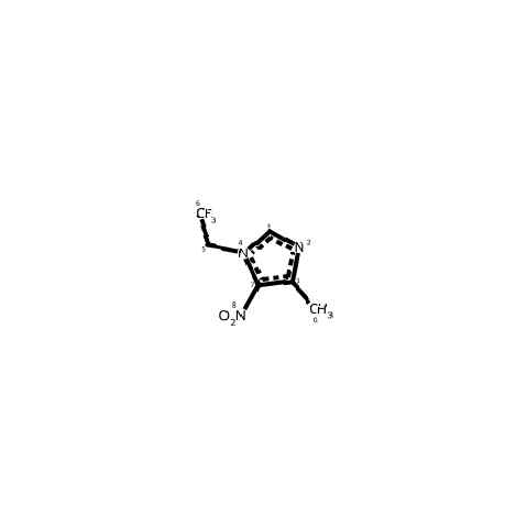 Cc1ncn(CC(F)(F)F)c1[N+](=O)[O-]